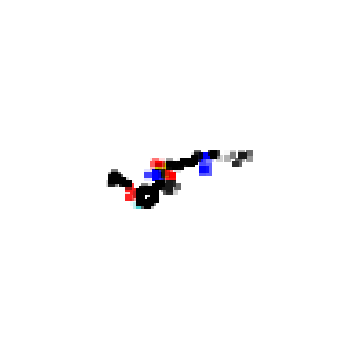 CCOC(=O)CNCCCCCS(=O)(=O)NC(c1ccc(F)c(OCC2CC2)c1)C(C)C